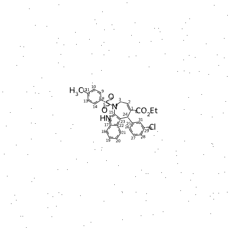 CCOC(=O)C1=CCN(S(=O)(=O)c2ccc(C)cc2)c2[nH]c3ccccc3c2C1c1cccc(Cl)c1